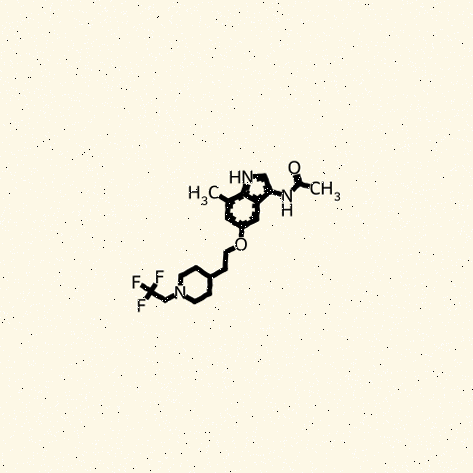 CC(=O)Nc1c[nH]c2c(C)cc(OCCC3CCN(CC(F)(F)F)CC3)cc12